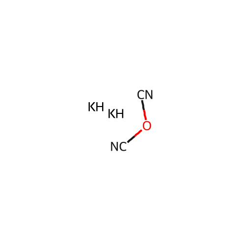 N#COC#N.[KH].[KH]